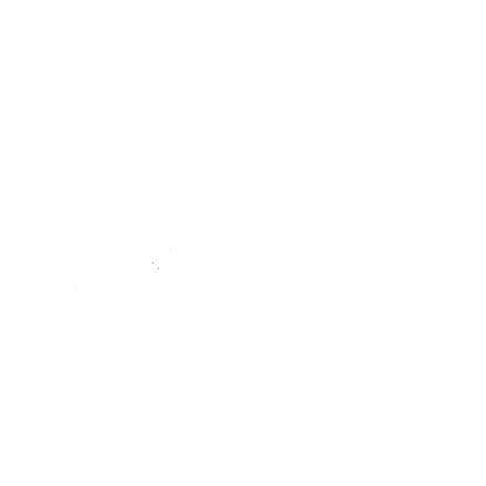 CCCCCCCCCCCCCCC(=O)NCCCC(=O)CC